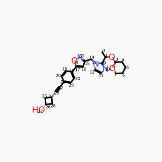 CC(OC1CCCCO1)c1nccn1Cc1cc(-c2ccc(C#C[C@H]3C[C@@H](O)C3)cc2)on1